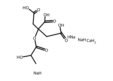 CC(O)C(=O)OC(CC(=O)O)(CC(=O)O)C(=O)O.[CaH2].[NaH].[NaH].[NaH]